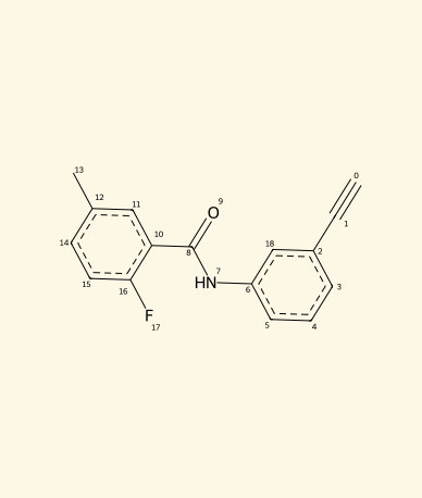 C#Cc1cccc(NC(=O)c2cc(C)ccc2F)c1